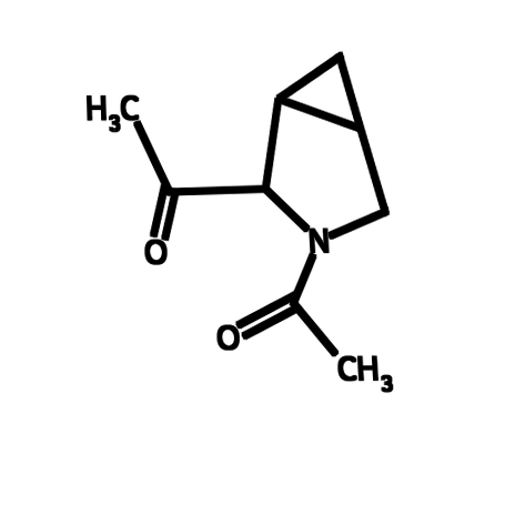 CC(=O)C1C2CC2CN1C(C)=O